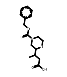 CC(CC(=O)O)C1CN(C(=O)OCc2ccccc2)CCO1